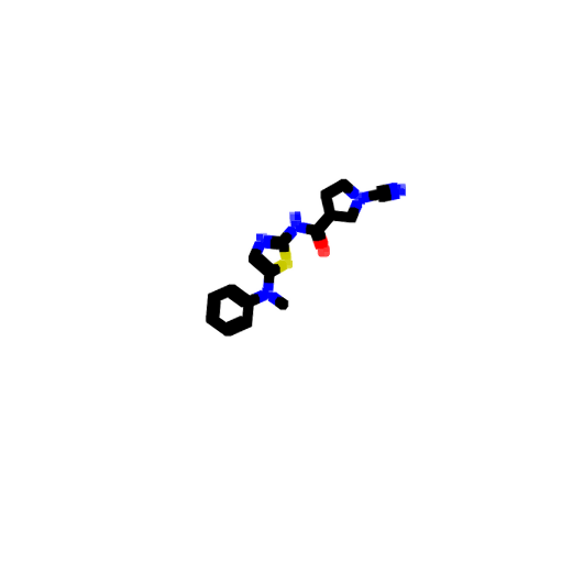 CN(c1ccccc1)c1cnc(NC(=O)C2CCN(C#N)C2)s1